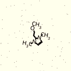 COCCC1N(C)C=CN1C